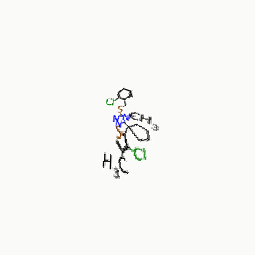 Cc1csc(C2(c3nnc(SCc4ccccc4Cl)n3C)CCCC2)c1Cl